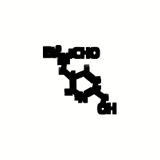 CCN(C=O)Cc1ccc(CO)nc1